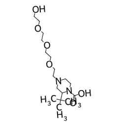 CC(C)(C)C1CN(CCOCCOCCOCCO)CCN1C(=O)O